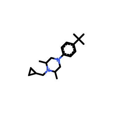 CC1CN(c2ccc(C(C)(C)C)cc2)CC(C)N1CC1CC1